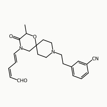 CC1OC2(CCN(CCc3cccc(C#N)c3)CC2)CN(/C=C/C=C\C=O)C1=O